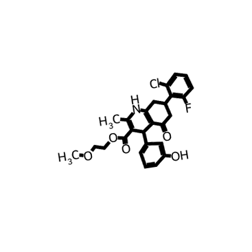 COCCOC(=O)C1=C(C)NC2=C(C(=O)CC(c3c(F)cccc3Cl)C2)C1c1cccc(O)c1